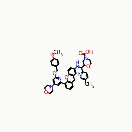 COc1ccc(COc2cc(N3CCOCC3)cc(-c3cccc4c3Oc3ccc(NC(c5ccc(C)cn5)C5CN(C(=O)O)CCO5)cc3C4)n2)cc1